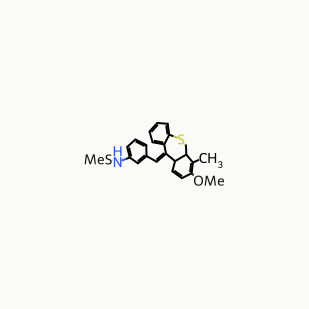 COC1=C(C)C2CSc3ccccc3/C(=C\c3cccc(NSC)c3)C2C=C1